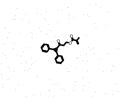 C=C(C)C(=O)OCCC(=O)C1C(c2ccccc2)=C1c1ccccc1